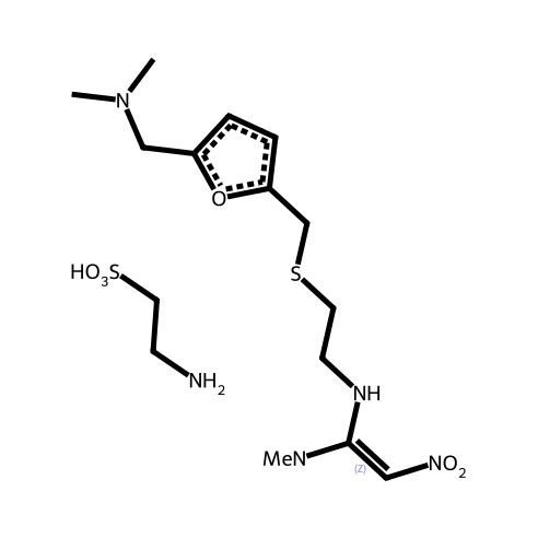 CN/C(=C/[N+](=O)[O-])NCCSCc1ccc(CN(C)C)o1.NCCS(=O)(=O)O